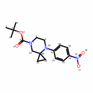 CC(C)(C)OC(=O)N1CCN(c2ccc([N+](=O)[O-])cc2)C2(CC2)C1